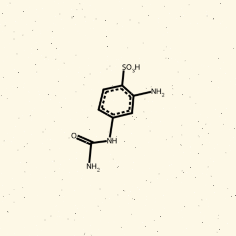 NC(=O)Nc1ccc(S(=O)(=O)O)c(N)c1